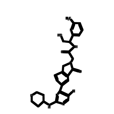 Cc1cccc(C(CO)NC(=O)CN2Cc3ccc(-c4nc(NC5CCOCC5)ncc4Cl)cc3C2=O)n1